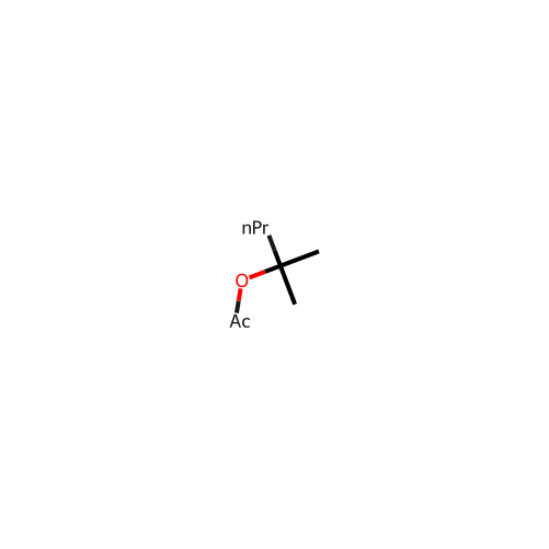 [CH2]C(=O)OC(C)(C)CCC